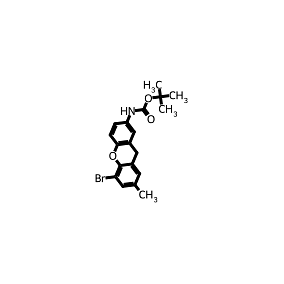 Cc1cc(Br)c2c(c1)Cc1cc(NC(=O)OC(C)(C)C)ccc1O2